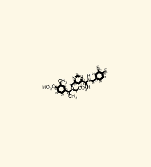 Cc1cc([C@H](C)N(CC(=O)O)Cc2cc(C(=O)NCc3ccc(F)c(F)c3)ncn2)ccc1C(=O)O